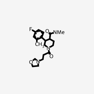 CNC(=O)C1CCN(C(=O)CCN2CCOC2)CC1c1ccc(F)cc1C